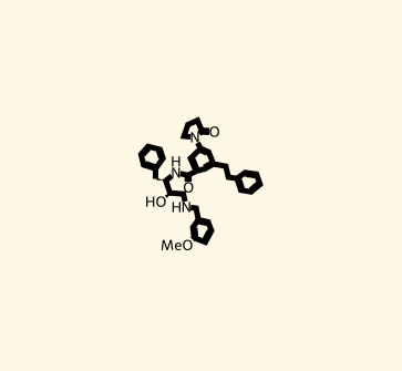 COc1cccc(CNC[C@@H](O)[C@H](Cc2ccccc2)NC(=O)c2cc(CCc3ccccc3)cc(N3CCCC3=O)c2)c1